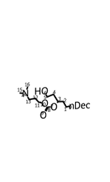 CCCCCCCCCCCCC(CCO)OC(=O)OCCCN(C)C